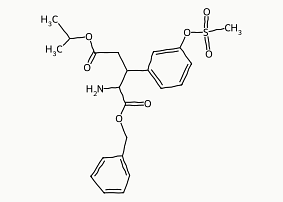 CC(C)OC(=O)CC(c1cccc(OS(C)(=O)=O)c1)C(N)C(=O)OCc1ccccc1